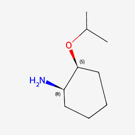 CC(C)O[C@H]1CCCC[C@H]1N